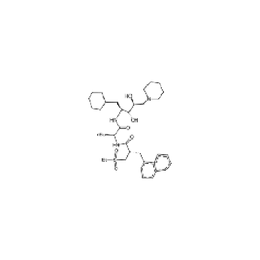 CCCC[C@H](NC(=O)[C@H](Cc1cccc2ccccc12)CS(=O)(=O)CC)C(=O)N[C@@H](CC1CCCCC1)[C@@H](O)[C@@H](O)CN1CCCCC1